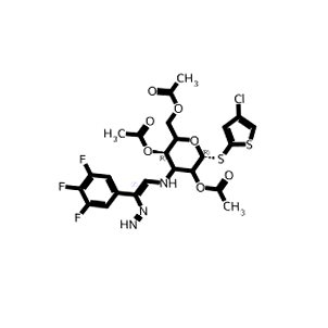 CC(=O)OCC1O[C@H](Sc2cc(Cl)cs2)C(OC(C)=O)C(N/C=C(\N=N)c2cc(F)c(F)c(F)c2)[C@H]1OC(C)=O